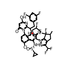 CC1Cc2c(C(F)F)nn(CC(=O)NC(Cc3cc(F)cc(F)c3)c3nc(O)cc(=O)n3-c3ccc(Cl)c4c(N[S+]([O-])C5CC5)nn(CC(F)F)c34)c2C1(F)F